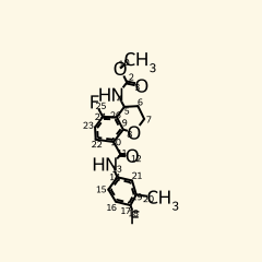 COC(=O)NC1CCOc2c(C(=O)Nc3ccc(F)c(C)c3)ccc(F)c21